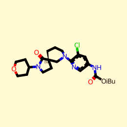 CC(C)COC(=O)Nc1cnc(N2CCC[C@]3(CCN(C4CCOCC4)C3=O)C2)c(Cl)c1